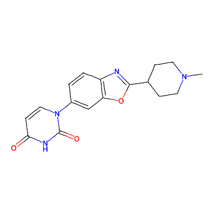 CN1CCC(c2nc3ccc(-n4ccc(=O)[nH]c4=O)cc3o2)CC1